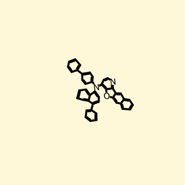 c1ccc(-c2ccc(N(c3ccc(-c4ccccc4)c4ccccc34)c3ccnc4c3oc3cc5ccccc5cc34)cc2)cc1